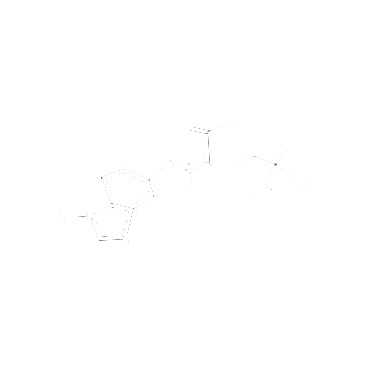 Cn1cnc2cc(CN[C@@H](CCC(C)(C)C)C(=O)O)ccc21